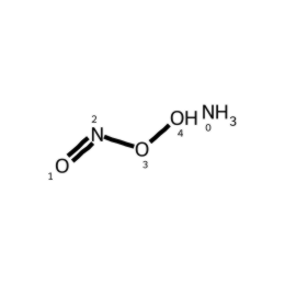 N.O=NOO